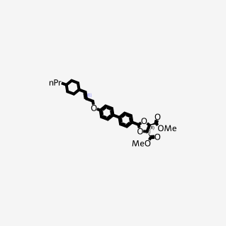 CCCC1CCC(/C=C/COc2ccc(-c3ccc(C4O[C@@H](C(=O)OC)[C@H](C(=O)OC)O4)cc3)cc2)CC1